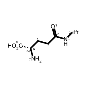 CC(C)NC(=O)CC[C@H](N)C(=O)O